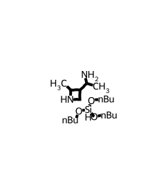 CC(N)C1CNC1C.CCCCO[SiH](OCCCC)OCCCC